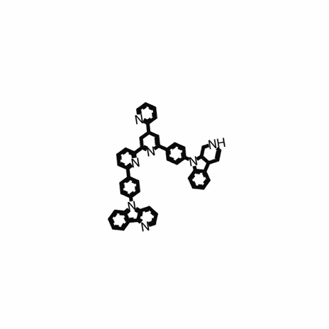 C1=CC2c3ccccc3N(c3ccc(C4=CC(c5ccccn5)CC(c5cccc(-c6ccc(-n7c8ccccc8c8ncccc87)cc6)n5)=N4)cc3)C2CN1